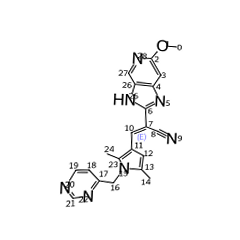 COc1cc2nc(/C(C#N)=C/c3cc(C)n(Cc4ccncn4)c3C)[nH]c2cn1